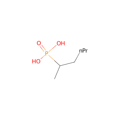 CCCCC(C)P(=O)(O)O